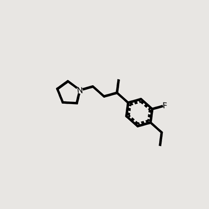 CCc1ccc(C(C)CCN2CCCC2)cc1F